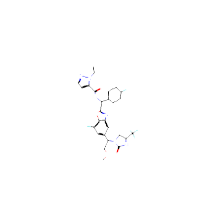 CCn1nccc1C(=O)NC(c1nc2cc(C(COC)N3CC(C(F)(F)F)NC3=O)cc(F)c2o1)C1CCC(F)CC1